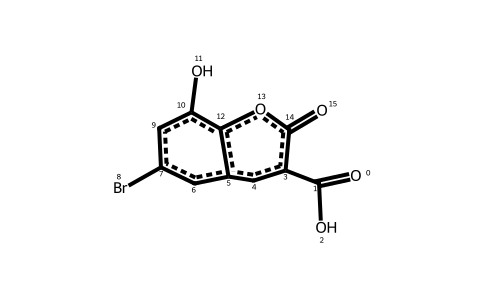 O=C(O)c1cc2cc(Br)cc(O)c2oc1=O